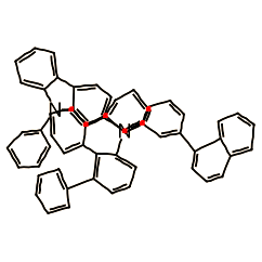 c1ccc(-c2ccccc2-c2c(-c3ccccc3)cccc2N(c2cccc(-c3cccc4ccccc34)c2)c2ccc3c4ccccc4n(-c4ccccc4)c3c2)cc1